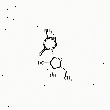 CC[C@H]1O[C@@H](n2cnc(N)nc2=O)C(O)[C@H]1O